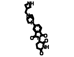 O=C1CCC(N2C(=O)c3ccc(N4CC5CC4CN5CC4CNC4)cc3C2=O)C(=O)N1